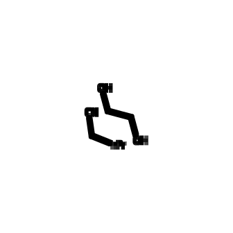 CCCCC#N.OCCO